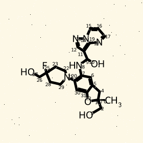 C[C@]1(CO)Cc2cc(NC(O)c3cnn4cccnc34)c(N3CCC(F)(CO)CC3)cc2O1